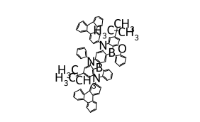 CC(C)(C)c1cc2c3c(c1)N(c1ccc4c5ccccc5c5ccccc5c4c1)c1cc4c(cc1B3c1ccccc1O2)B1c2ccccc2N(c2ccc3c5ccccc5c5ccccc5c3c2)c2cc(C(C)(C)C)cc(c21)N4c1ccccc1